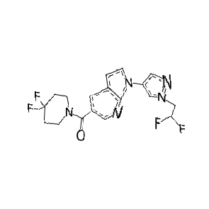 O=C(c1cnc2c(ccn2-c2cnn(CC(F)F)c2)c1)N1CCC(F)(F)CC1